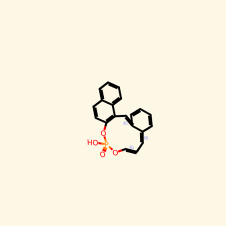 O=P1(O)O/C=C/C=c2/cccc/c2=C\c2c(ccc3ccccc23)O1